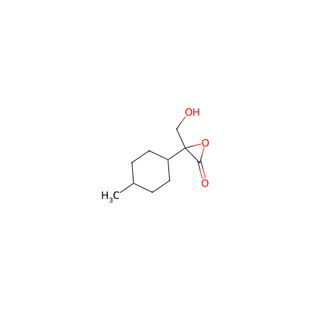 CC1CCC(C2(CO)OC2=O)CC1